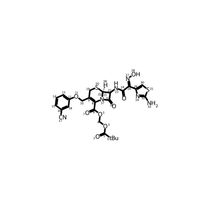 CC(C)(C)C(=O)OCOC(=O)C1=C(COc2cccc(C#N)c2)CS[C@H]2C(NC(=O)C(=NO)c3csc(N)n3)C(=O)N12